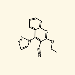 CCOc1nc2ccccc2c(-n2ccnn2)c1C#N